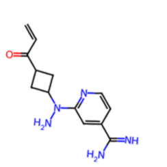 C=CC(=O)C1CC(N(N)c2cc(C(=N)N)ccn2)C1